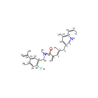 C=C(/C=C(\C)Cc1cnc(/C=C\C)c(C)c1)C(=O)N(C)Cc1cc(C(=C)C)c(C)cc1F